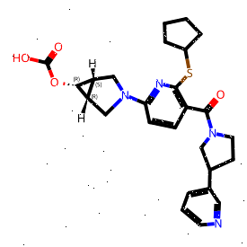 O=C(O)O[C@@H]1[C@@H]2CN(c3ccc(C(=O)N4CCC(c5cccnc5)C4)c(SC4CCCC4)n3)C[C@@H]21